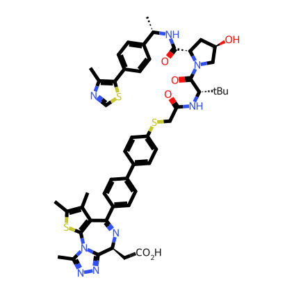 Cc1ncsc1-c1ccc([C@H](C)NC(=O)[C@@H]2C[C@@H](O)CN2C(=O)[C@@H](NC(=O)CSc2ccc(-c3ccc(C4=N[C@@H](CC(=O)O)c5nnc(C)n5-c5sc(C)c(C)c54)cc3)cc2)C(C)(C)C)cc1